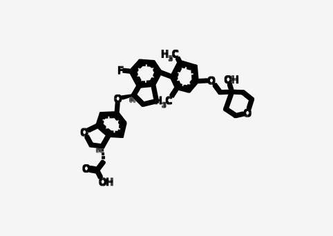 Cc1cc(OCC2(O)CCOCC2)cc(C)c1-c1ccc(F)c2c1CC[C@H]2Oc1ccc2c(c1)OC[C@H]2CC(=O)O